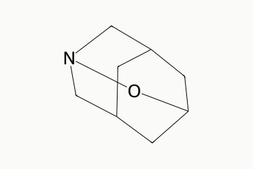 C1C2CC3CC1CN(C2)O3